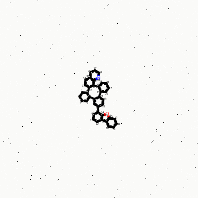 c1ccc2c(c1)-c1cc(-c3cccc4c3oc3ccccc34)ccc1-c1ccccc1-c1c-2ccc2cccnc12